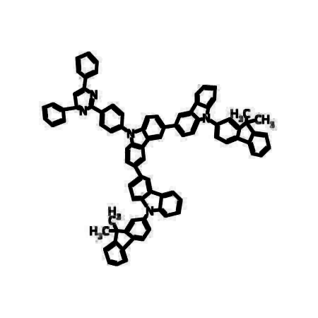 CC1(C)c2ccccc2-c2ccc(-n3c4ccccc4c4cc(-c5ccc6c(c5)c5cc(-c7ccc8c(c7)c7ccccc7n8-c7ccc8c(c7)C(C)(C)c7ccccc7-8)ccc5n6-c5ccc(-c6nc(-c7ccccc7)cc(-c7ccccc7)n6)cc5)ccc43)cc21